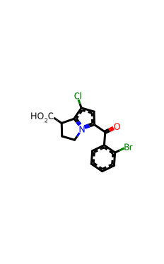 O=C(c1ccccc1Br)c1cc(Cl)c2n1CCC2C(=O)O